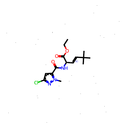 CCOC(=O)C(/C=C/C(C)(C)C)NC(=O)c1cc(Cl)nn1C